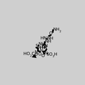 N=C(NCCOCCN)NCc1cnn(CC2C(NC(=O)/C(=N\OC3(C(=O)O)CC3)c3csc(N)n3)C(=O)N2S(=O)(=O)O)n1